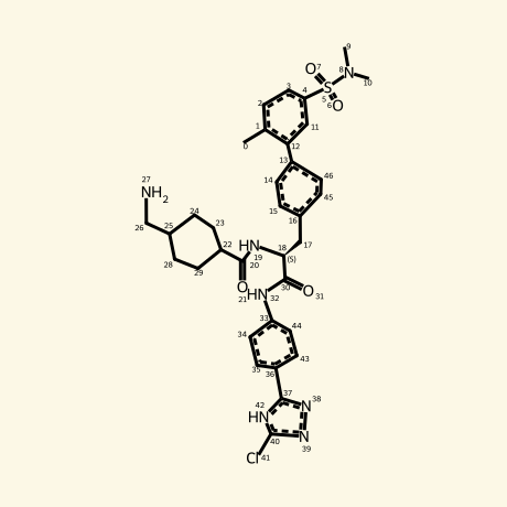 Cc1ccc(S(=O)(=O)N(C)C)cc1-c1ccc(C[C@H](NC(=O)C2CCC(CN)CC2)C(=O)Nc2ccc(-c3nnc(Cl)[nH]3)cc2)cc1